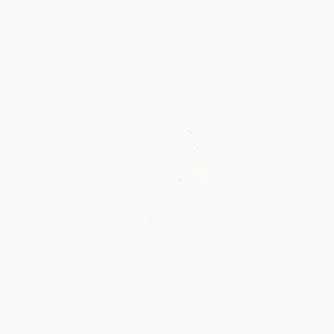 Cn1nc(C2CC2)cc1C(=O)NC1(c2ccc(Cl)nc2)CC1